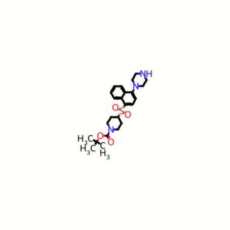 CC(C)(C)OC(=O)N1CCC(S(=O)(=O)c2ccc(N3CCNCC3)c3ccccc23)CC1